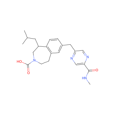 CNC(=O)c1cnc(Cc2ccc3c(c2)CCN(C(=O)O)CC3CC(C)C)cn1